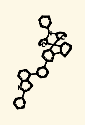 c1ccc(-c2ccc3c(-c4cccc(-c5ccc6c(c5)-c5ccccc5C65c6ccccc6N(c6ccccc6)c6ccccc65)c4)cccc3n2)cc1